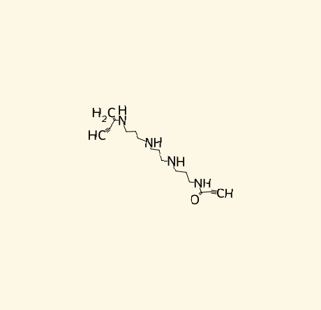 C#CC(=C)NCCCNCCCNCCCNC(=O)C#C